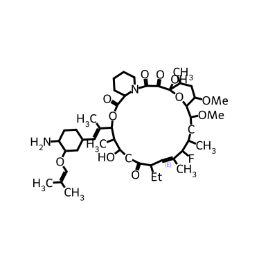 CCC1/C=C(\C)C(F)C(C)CC(OC)C2OC(O)(C(=O)C(=O)N3CCCCC3C(=O)OC(C(C)=CC3CCC(N)C(OC=C(C)C)C3)C(C)C(O)CC1=O)C(C)CC2OC